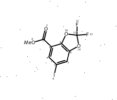 COC(=O)c1cc(I)cc2c1OC(F)(F)O2